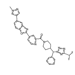 Cn1cc(-c2ccc3oc(-c4ccnc(C(=O)N5CCC(C(c6ccccc6)n6nnc(C(F)F)n6)CC5)c4)nc3c2)cn1